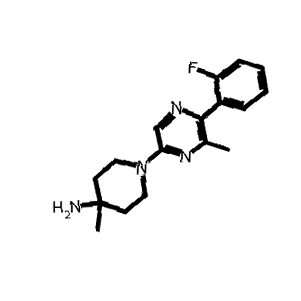 Cc1nc(N2CCC(C)(N)CC2)cnc1-c1ccccc1F